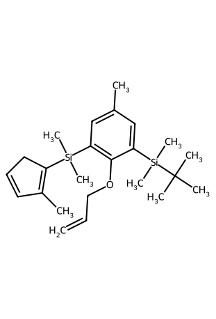 C=CCOc1c([Si](C)(C)C2=C(C)C=CC2)cc(C)cc1[Si](C)(C)C(C)(C)C